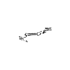 [S]=[Ge]=[S].[SiH4]